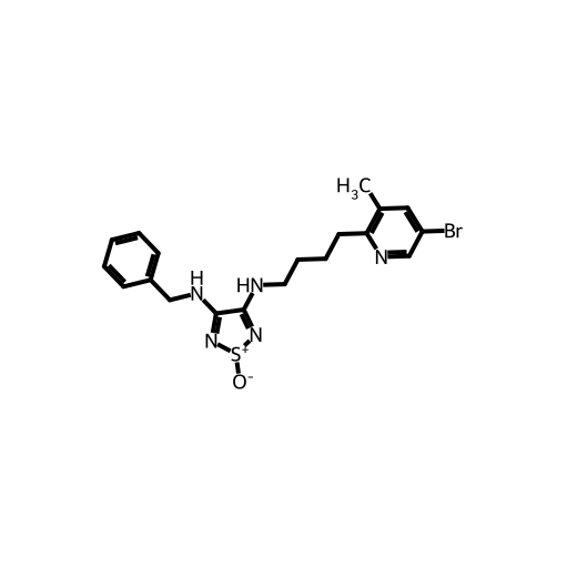 Cc1cc(Br)cnc1CCCCNc1n[s+]([O-])nc1NCc1ccccc1